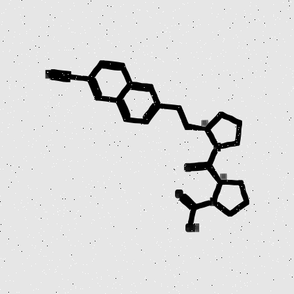 N#Cc1ccc2cc(CC[C@H]3CCCN3C(=O)[C@H]3CCCN3C(=O)O)ccc2c1